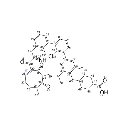 CCc1cc(-c2cccc(-c3cccc(CC(=N)C(=O)/C4=C/CCC(C)C(=O)C(C)C4=O)c3C)c2Cl)cc(F)c1CC1CCC(C(=O)O)CC1